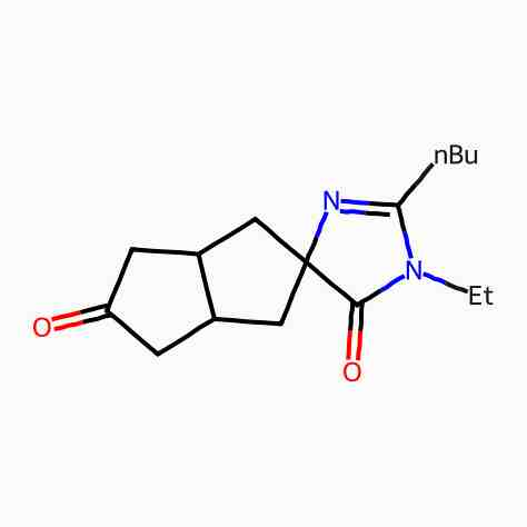 CCCCC1=NC2(CC3CC(=O)CC3C2)C(=O)N1CC